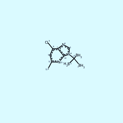 BC(B)(B)n1cnc2c(Cl)cc(I)nc21